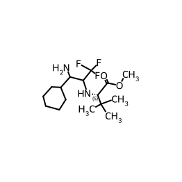 COC(=O)[C@@H](NC(C(N)C1CCCCC1)C(F)(F)F)C(C)(C)C